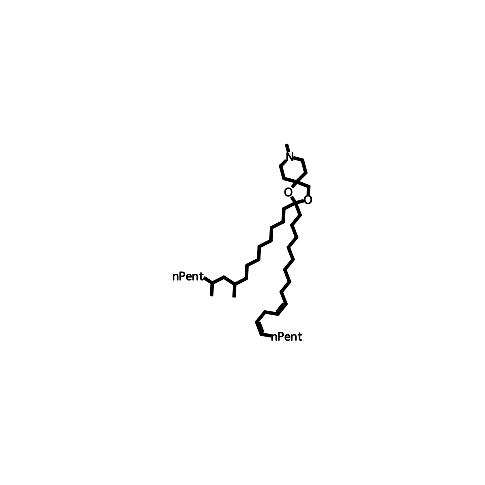 CCCCC/C=C\C/C=C\CCCCCCCCC1(CCCCCCCCC(C)CC(C)CCCCC)OCC2(CCN(C)CC2)O1